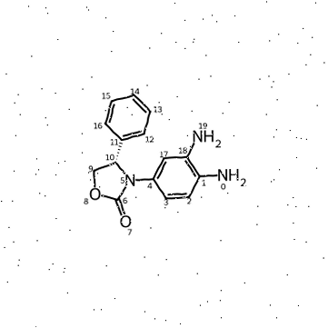 Nc1ccc(N2C(=O)OC[C@@H]2c2ccccc2)cc1N